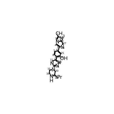 Cc1cn2cc(-c3ccc(-c4cnc(N5CCNC(C(C)C)C5)nn4)c(O)c3)ncc2n1